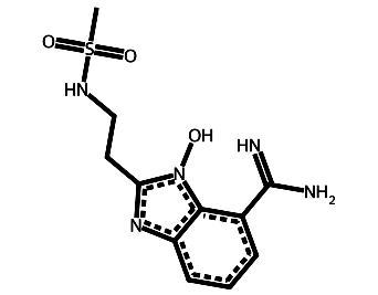 CS(=O)(=O)NCCc1nc2cccc(C(=N)N)c2n1O